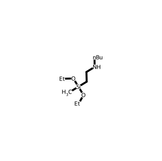 CCCCNCC[Si](C)(OCC)OCC